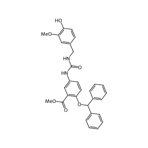 COC(=O)c1cc(NC(=O)NCc2ccc(O)c(OC)c2)ccc1OC(c1ccccc1)c1ccccc1